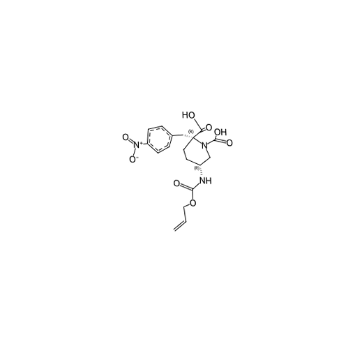 C=CCOC(=O)N[C@@H]1CC[C@@](Cc2ccc([N+](=O)[O-])cc2)(C(=O)O)N(C(=O)O)C1